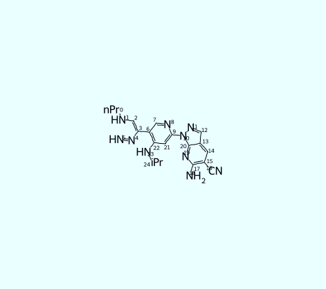 CCCN/C=C(\N=N)c1cnc(-n2ncc3cc(C#N)c(N)nc32)cc1NC(C)C